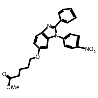 COC(=O)CCCCOc1ccc2nc(-c3ccccc3)n(-c3ccc([N+](=O)[O-])cc3)c2c1